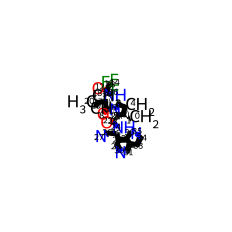 C=C[C@H]1C(=C)CN(C(=O)[C@@H](NC(=O)C(F)(F)F)C(C)(C)C)[C@@H]1C(=O)NC(C#N)c1cncc2ccncc12